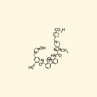 C#Cc1cc(CN2CC[C@@H](O)C2)cc2nc(-c3cccc(-c4cccc(NC(=O)c5nc6c(n5C)CCN(CC57CCC(C(=O)O)(CC5)C7)C6)c4Cl)c3C)oc12